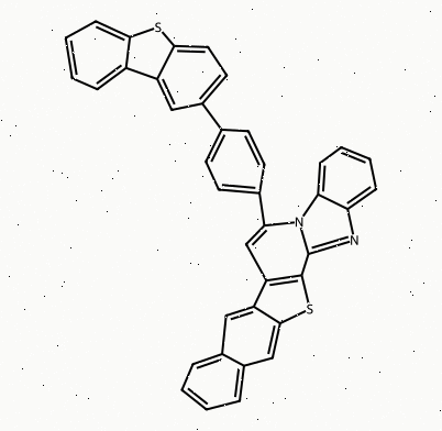 c1ccc2cc3c(cc2c1)sc1c3cc(-c2ccc(-c3ccc4sc5ccccc5c4c3)cc2)n2c3ccccc3nc12